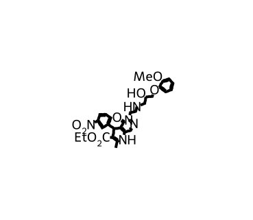 CCOC(=O)C1=C(C)Nc2cnn(CCNCC(O)COc3ccccc3OC)c(=O)c2C1c1cccc([N+](=O)[O-])c1